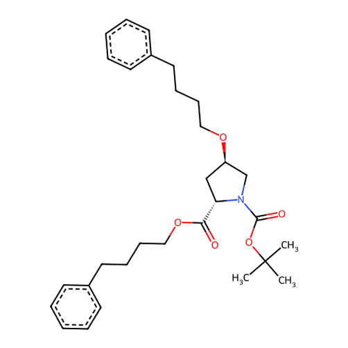 CC(C)(C)OC(=O)N1C[C@H](OCCCCc2ccccc2)C[C@H]1C(=O)OCCCCc1ccccc1